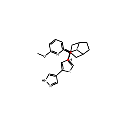 COc1cccc(C2(O)CC3CCC(C2)N3C(=O)c2csc(-c3cn[nH]c3)c2)n1